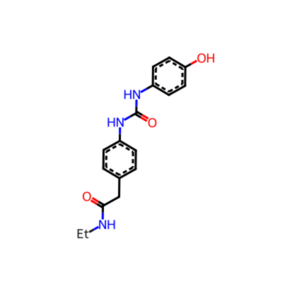 CCNC(=O)Cc1ccc(NC(=O)Nc2ccc(O)cc2)cc1